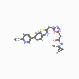 Cc1ccc(-c2ccc3nc(Cc4nnc(CC(=O)NC5(C#N)CC5)o4)sc3c2)cn1